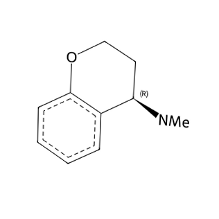 CN[C@@H]1CCOc2ccccc21